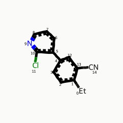 CCc1ccc(-c2cccnc2Cl)cc1C#N